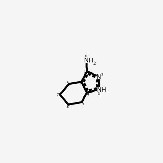 Nc1n[nH]c2c1CCCC2